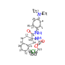 CCN(CC)c1ccc(NC(=O)C2(NC(=O)OCC(C)(C)C)CCc3cccc(Cl)c3C2)c(C)c1